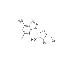 Nc1nc(I)nc2c1ncn2[C@@H]1O[C@H](CO)[C@@H](O)[C@@H]1O